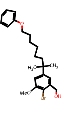 COc1cc(C(C)(C)CCCCCCOc2ccccc2)cc(CO)c1Br